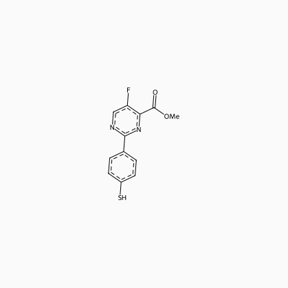 COC(=O)c1nc(-c2ccc(S)cc2)ncc1F